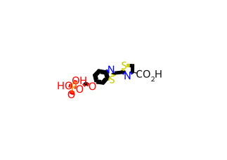 O=C(O)[C@H]1CSC(c2nc3ccc(OCOP(=O)(O)O)cc3s2)=N1